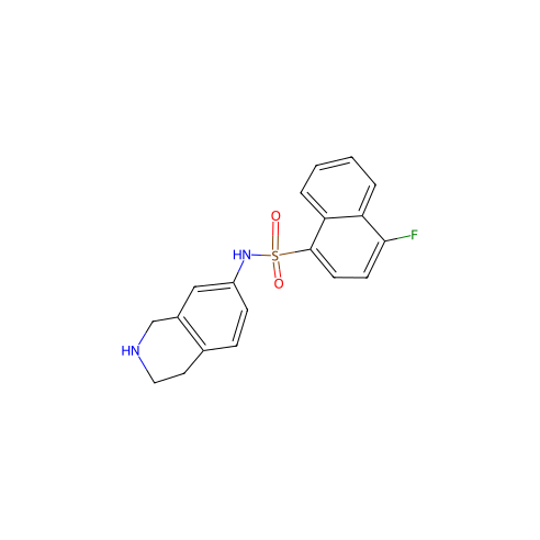 O=S(=O)(Nc1ccc2c(c1)CNCC2)c1ccc(F)c2ccccc12